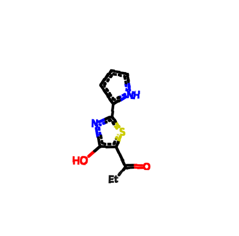 CCC(=O)c1sc(-c2ccc[nH]2)nc1O